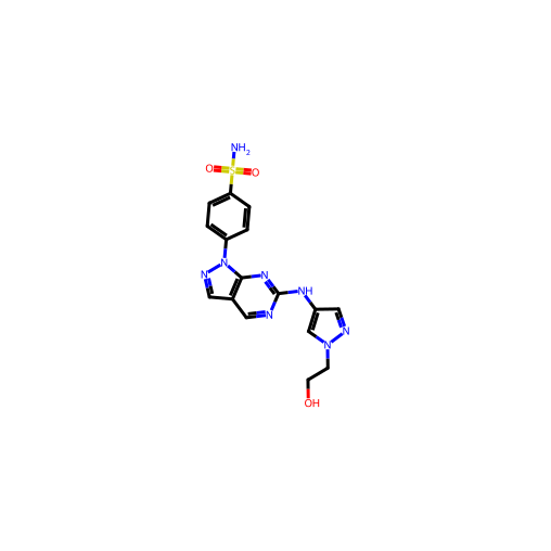 NS(=O)(=O)c1ccc(-n2ncc3cnc(Nc4cnn(CCO)c4)nc32)cc1